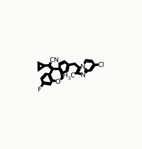 Cc1nc2cc(Cl)ccn2c1Cc1ccc2c(c1)COc1cc(F)ccc1C2=C(C#N)C1CC1